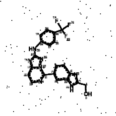 OCc1nc2ccc(-c3nccc4nc(Nc5ccc(C(F)(F)F)cc5)nn34)cc2[nH]1